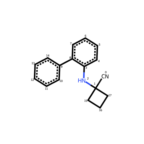 N#CC1(Nc2ccccc2-c2ccccc2)CCC1